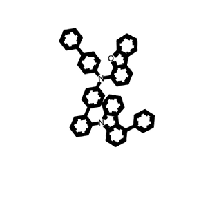 c1ccc(-c2ccc(N(c3ccc(-c4ccccc4-n4c5ccccc5c5c(-c6ccccc6)cccc54)cc3)c3cccc4c3oc3ccccc34)cc2)cc1